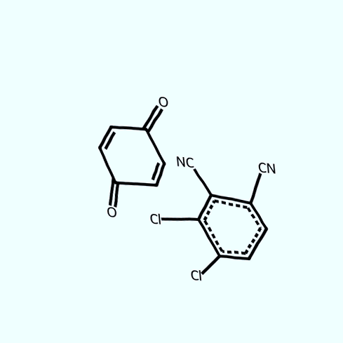 N#Cc1ccc(Cl)c(Cl)c1C#N.O=C1C=CC(=O)C=C1